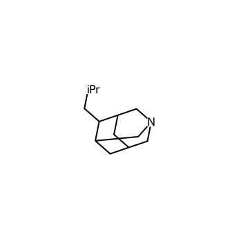 CC(C)CC1C2CC3CC1CN(C3)C2